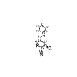 N#Cc1ncc(CCc2ccccc2)cc1Cl